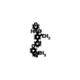 CCc1cc(-c2cc(Oc3ccc4cnn(C)c4c3)ccn2)ccc1C(=O)NC1CCOCC1